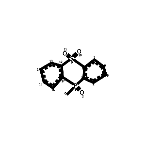 CP1(=O)c2ccccc2S(=O)(=O)c2ccccc21